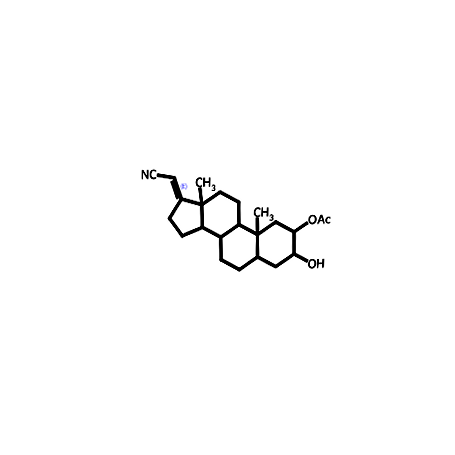 CC(=O)OC1CC2(C)C(CCC3C4CC/C(=C\C#N)C4(C)CCC32)CC1O